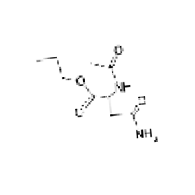 CCCOC(=O)C(CC(N)=O)NC(C)=O